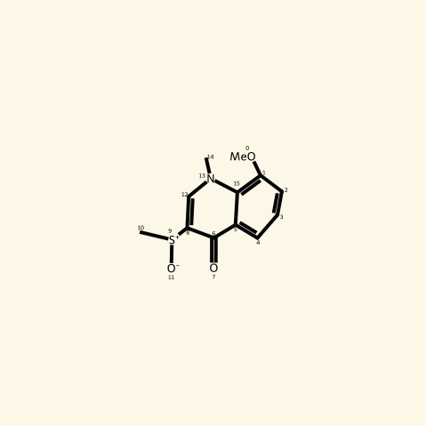 COc1cccc2c(=O)c([S+](C)[O-])cn(C)c12